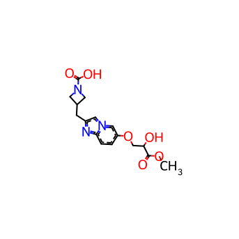 COC(=O)C(O)COc1ccc2nc(CC3CN(C(=O)O)C3)cn2c1